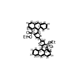 CCOP(=O)(OCC)c1cc(-c2cc(P(=O)(OCC)OCC)c(-c3c4ccccc4cc4ccccc34)s2)sc1-c1c2ccccc2cc2ccccc12